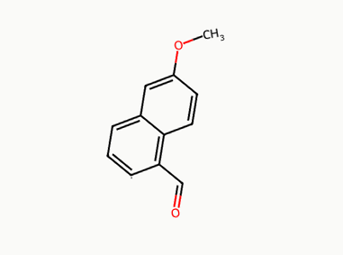 COc1ccc2c(C=O)[c]ccc2c1